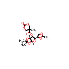 CC1OCC([C@H]2O[C@@H]3OC(C)(C)O[C@@H]3[C@H]2OC(=O)C2(C)COC(=O)OC2)O1